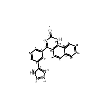 O=c1nc(-c2cccc(-c3nnn[nH]3)c2)c2ccc3ccccc3c2[nH]1